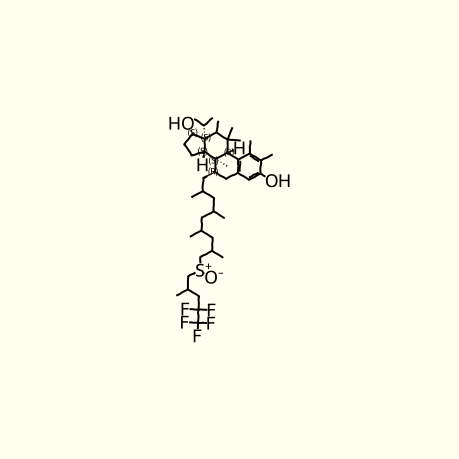 Cc1c(O)cc2c(c1C)[C@H]1C(C)(C)C(C)[C@@]3(C(C)C)[C@@H](CC[C@@H]3O)[C@]1(C)[C@H](CC(C)CC(C)CC(C)CC(C)C[S+]([O-])CC(C)CC(F)(F)C(F)(F)F)C2